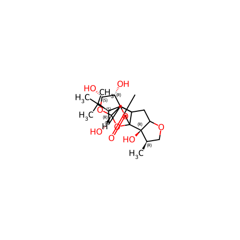 C[C@@H]1COC2CC34C5OC(=O)C3(O[C@@H]3O[C@H](O)[C@H](O)C34[C@H](C(C)(C)C)[C@H]5O)[C@]21O